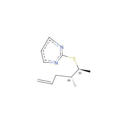 C=CC[C@@H](C)[C@H](C)Sc1ncccn1